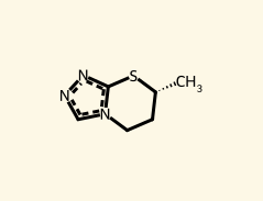 C[C@@H]1CCn2cnnc2S1